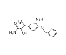 CC(c1ccc(OCc2ccccc2)cc1)N(O)C(N)=O.[NaH]